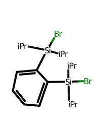 CC(C)[Si](Br)(c1ccccc1[Si](Br)(C(C)C)C(C)C)C(C)C